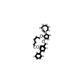 O=C(O)CC/C=C\CO[C@H]1[C@@H](OCc2ccc(-c3ccccc3)cc2)CC[C@@H]1N1CCCCCC1